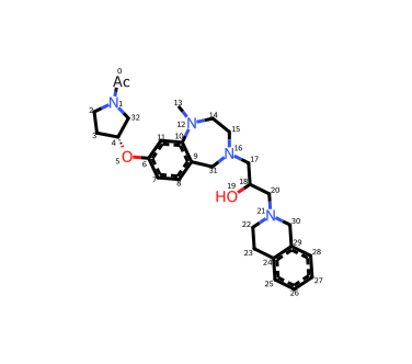 CC(=O)N1CC[C@@H](Oc2ccc3c(c2)N(C)CCN(CC(O)CN2CCc4ccccc4C2)C3)C1